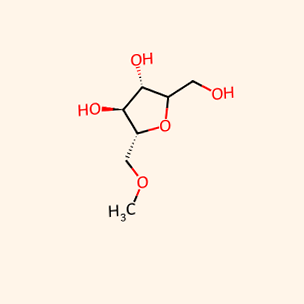 COC[C@H]1OC(CO)[C@@H](O)[C@@H]1O